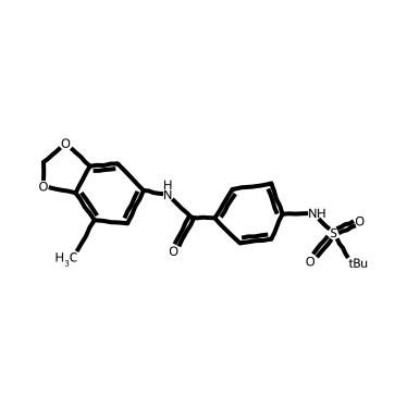 Cc1cc(NC(=O)c2ccc(NS(=O)(=O)C(C)(C)C)cc2)cc2c1OCO2